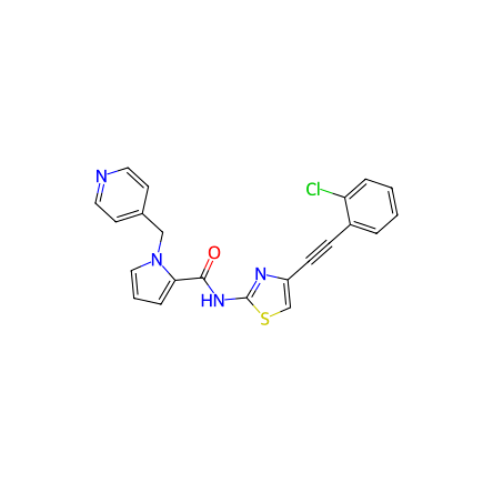 O=C(Nc1nc(C#Cc2ccccc2Cl)cs1)c1cccn1Cc1ccncc1